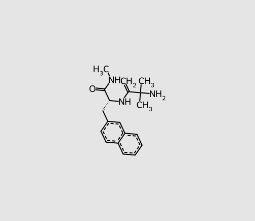 C=C(N[C@H](Cc1ccc2ccccc2c1)C(=O)NC)C(C)(C)N